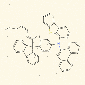 CCC/C=C\C=C(/C)C1(c2ccc(N(c3cc4ccccc4c4ccccc34)c3cccc4c3sc3ccccc34)cc2C)c2ccccc2-c2ccccc21